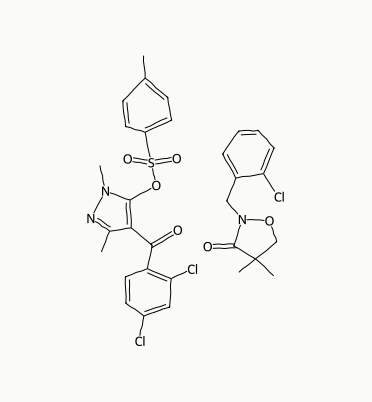 CC1(C)CON(Cc2ccccc2Cl)C1=O.Cc1ccc(S(=O)(=O)Oc2c(C(=O)c3ccc(Cl)cc3Cl)c(C)nn2C)cc1